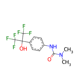 CN(C)C(=O)Nc1ccc(C(O)(C(F)(F)F)C(F)(F)F)cc1